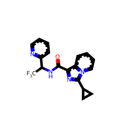 O=C(NC(c1ccccn1)C(F)(F)F)c1nc(C2CC2)n2ccccc12